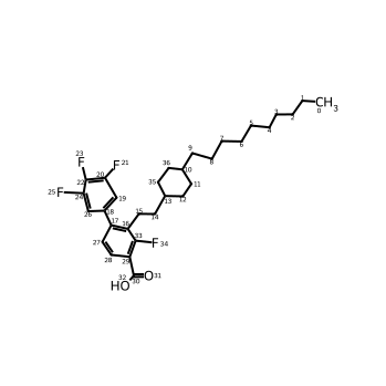 CCCCCCCCCCC1CCC(CCc2c(-c3cc(F)c(F)c(F)c3)ccc(C(=O)O)c2F)CC1